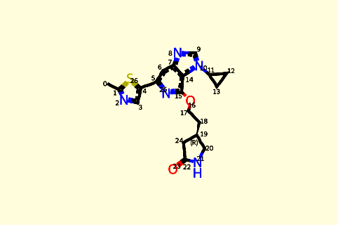 Cc1ncc(-c2cc3ncn(C4CC4)c3c(OCC[C@H]3CNC(=O)C3)n2)s1